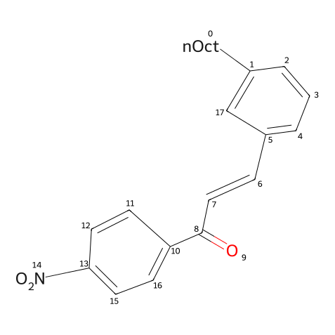 CCCCCCCCc1cccc(C=CC(=O)c2ccc([N+](=O)[O-])cc2)c1